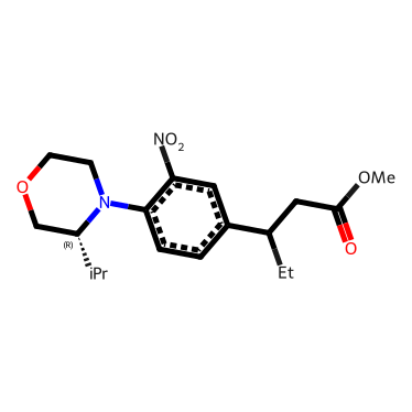 CCC(CC(=O)OC)c1ccc(N2CCOC[C@H]2C(C)C)c([N+](=O)[O-])c1